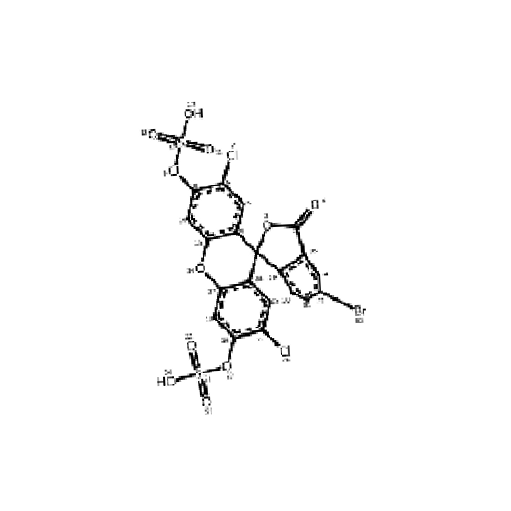 O=C1OC2(c3cc(Cl)c(OS(=O)(=O)O)cc3Oc3cc(OS(=O)(=O)O)c(Cl)cc32)c2ccc(Br)cc21